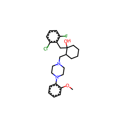 COc1ccccc1N1CCN(CC2CCCCC2(O)Cc2c(F)cccc2Cl)CC1